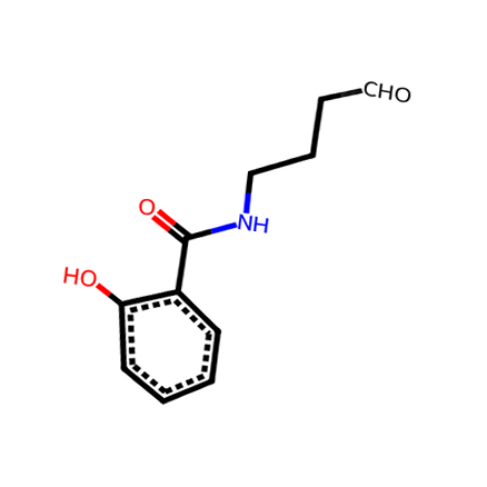 O=CCCCNC(=O)c1ccccc1O